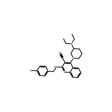 CCN(CC)C1CCCN(c2c(C#N)c(NCc3ccc(Cl)cc3)nc3ccccc23)C1